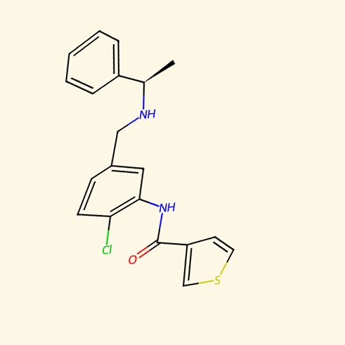 C[C@@H](NCc1ccc(Cl)c(NC(=O)c2ccsc2)c1)c1ccccc1